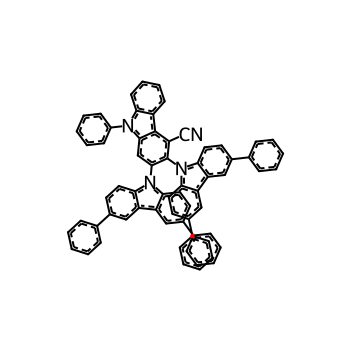 N#Cc1c(-n2c3ccc(-c4ccccc4)cc3c3cc(-c4ccccc4)ccc32)c(-n2c3ccc(-c4ccccc4)cc3c3cc(-c4ccccc4)ccc32)cc2c1c1ccccc1n2-c1ccccc1